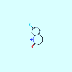 O=C1CCCC2=CC=C(F)CC2N1